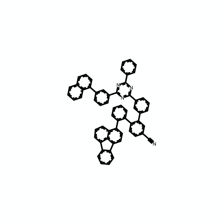 N#Cc1ccc(-c2ccccc2-c2ccc3c4c(cccc24)-c2ccccc2-3)c(-c2cccc(-c3nc(-c4ccccc4)nc(-c4cccc(-c5cccc6ccccc56)c4)n3)c2)c1